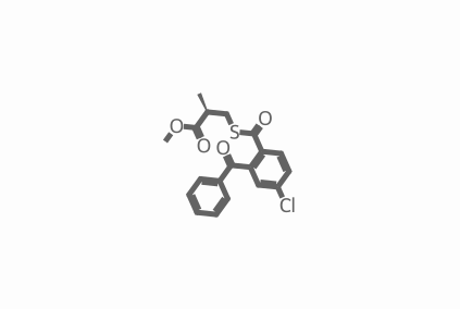 COC(=O)[C@@H](C)CSC(=O)c1ccc(Cl)cc1C(=O)c1ccccc1